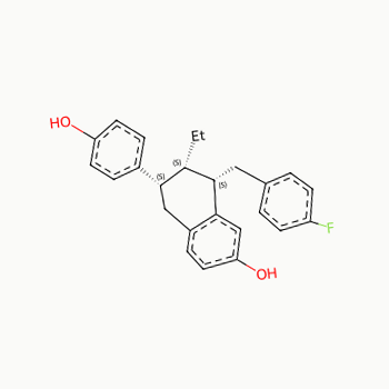 CC[C@H]1[C@@H](c2ccc(O)cc2)Cc2ccc(O)cc2[C@H]1Cc1ccc(F)cc1